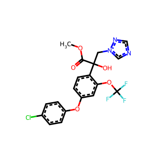 COC(=O)C(O)(Cn1cncn1)c1ccc(Oc2ccc(Cl)cc2)cc1OC(F)(F)F